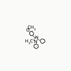 COc1ccc(C2=NC(c3ccccc3)N(c3ccccc3)C2C)cc1